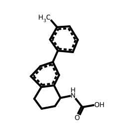 Cc1cccc(-c2ccc3c(c2)C(NC(=O)O)CCC3)c1